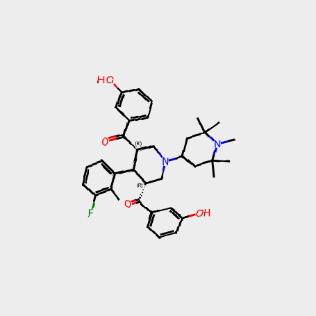 Cc1c(F)cccc1C1[C@@H](C(=O)c2cccc(O)c2)CN(C2CC(C)(C)N(C)C(C)(C)C2)C[C@@H]1C(=O)c1cccc(O)c1